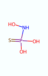 ONP(O)(O)=S